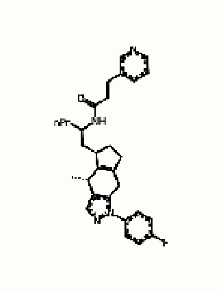 CCCC(C[C@H]1CCC2=C1[C@@H](C)c1cnn(-c3ccc(F)cc3)c1C2)NC(=O)CCc1cccnc1